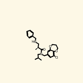 CC(C)CN(Cc1cc(Cl)c2c(c1)OCCCO2)C(=O)[C@@H](C)CNCc1ccccc1